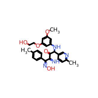 COc1cc(NC(C(=O)C(=N)/C(=N\O)c2ccc(C)cc2)c2ccc(C)nc2)cc(OCCO)c1